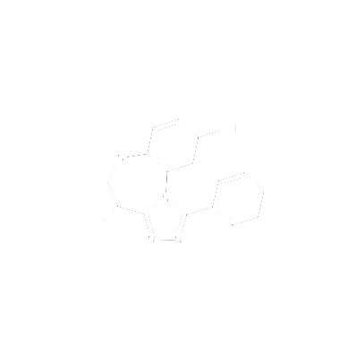 CC1CNC2=C(CC(O)C=C2)n2c(C3=CCCC=C3)nnc21